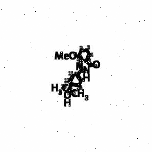 COc1cccc2c(=O)[nH]c(-c3ccc(C(C)(C)O)cc3)nc12